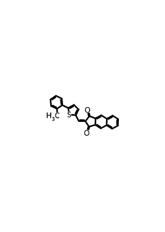 Cc1ccccc1-c1ccc(C=C2C(=O)c3cc4ccccc4cc3C2=O)s1